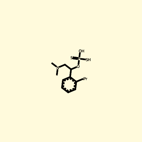 CC(C)c1ccccc1C(CN(C)C)OP(O)(=S)S